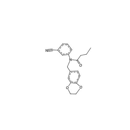 CCCC(=O)N(Cc1ccc2c(c1)OCCO2)c1cccc(C#N)c1